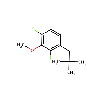 COc1c(F)ccc(CC(C)(C)C)c1F